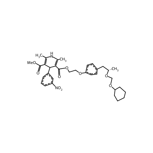 COC(=O)C1=C(C)NC(C)=C(C(=O)OCCOc2ccc(C[C@H](C)OCOC3CCCCC3)cc2)C1c1cccc([N+](=O)[O-])c1